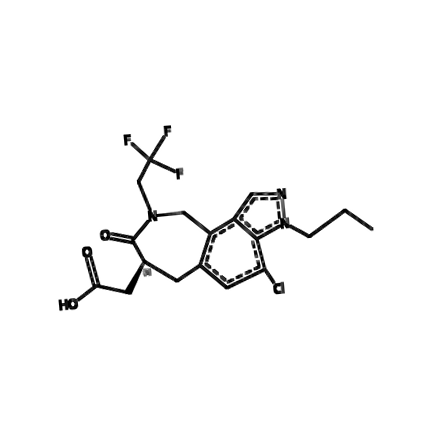 CCCn1ncc2c3c(cc(Cl)c21)C[C@@H](CC(=O)O)C(=O)N(CC(F)(F)F)C3